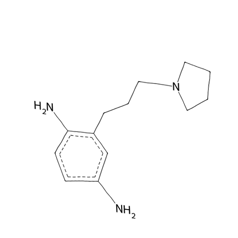 Nc1ccc(N)c(CCCN2CCCC2)c1